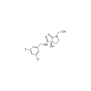 O=C(NCc1cc(F)cc(Cl)c1)[C@@]1(O)CCN(CO)C1=O